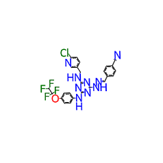 N#Cc1ccc(/C=N/Nc2nc(NCc3ccc(Cl)nc3)nc(Nc3ccc(OC(F)(F)C(F)F)cc3)n2)cc1